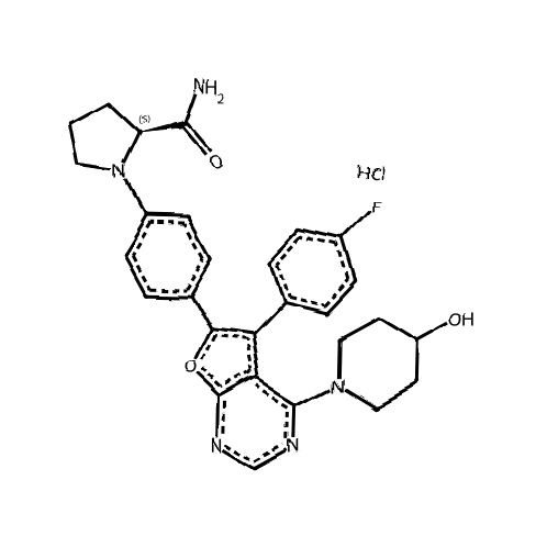 Cl.NC(=O)[C@@H]1CCCN1c1ccc(-c2oc3ncnc(N4CCC(O)CC4)c3c2-c2ccc(F)cc2)cc1